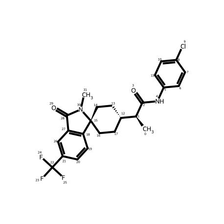 C[C@H](C(=O)Nc1ccc(Cl)cc1)[C@H]1CC[C@@]2(CC1)c1ccc(C(F)(F)F)cc1C(=O)N2C